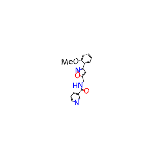 COc1ccccc1-c1cc(CNC(=O)c2cccnc2)on1